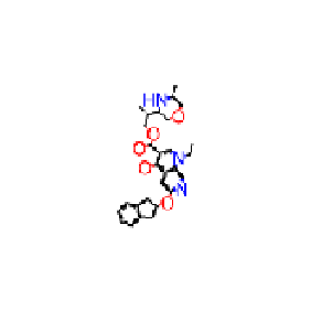 CCn1cc(C(=O)OC[C@@H](C)[C@@H]2COC[C@H](C)N2)c(=O)c2cc(OC3Cc4ccccc4C3)ncc21